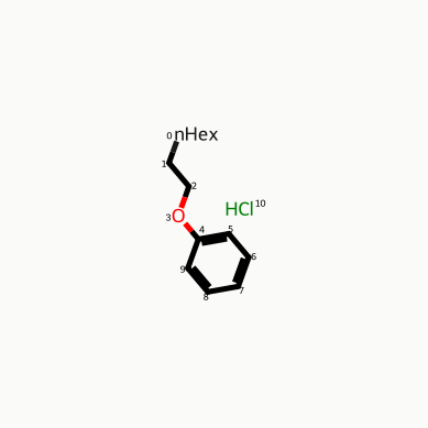 CCCCCCCCOc1ccccc1.Cl